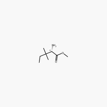 CCC(C)(C)[C@H](N)C(=O)OC